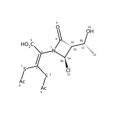 CC(=O)SC(SC(C)=O)=C(C(=O)O)N1C(=O)[C@H]([C@@H](C)O)[C@H]1Cl